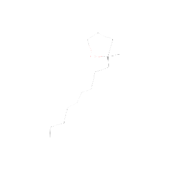 CCCCCCCCCC1(C)CCCO1